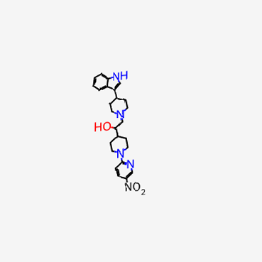 O=[N+]([O-])c1ccc(N2CCC(C(O)CN3CCC(c4c[nH]c5ccccc45)CC3)CC2)nc1